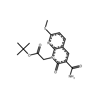 CSc1ccc2cc(C(N)=O)c(=O)n(CC(=O)OC(C)(C)C)c2n1